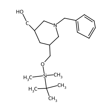 CC(C)(C)[Si](C)(C)OCC1CC(CO)CN(Cc2ccccc2)C1